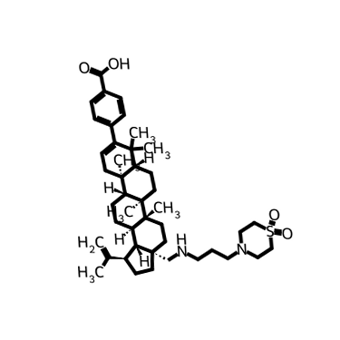 C=C(C)[C@@H]1CC[C@]2(CNCCCN3CCS(=O)(=O)CC3)CC[C@]3(C)[C@H](CC[C@@H]4[C@@]5(C)CC=C(c6ccc(C(=O)O)cc6)C(C)(C)[C@@H]5CC[C@]43C)[C@@H]12